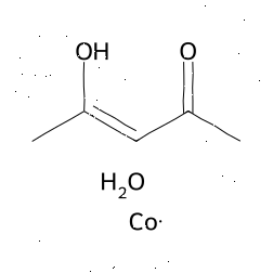 CC(=O)/C=C(/C)O.O.[Co]